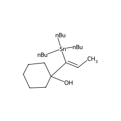 C/C=[C](/C1(O)CCCCC1)[Sn]([CH2]CCC)([CH2]CCC)[CH2]CCC